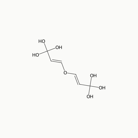 OC(O)(O)C=COC=CC(O)(O)O